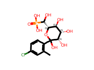 Cc1cc(Cl)ccc1C1(O)O[C@H](C(O)P(=O)(O)O)[C@@H](O)[C@H](O)[C@@H]1O